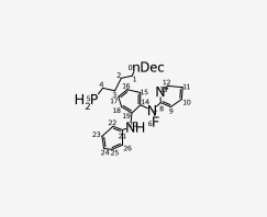 CCCCCCCCCCCCCCP.FN(c1ccccn1)c1ccccc1Nc1ccccc1